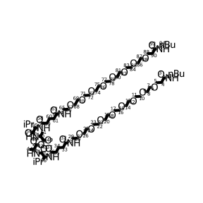 CCCCNC(=O)CCOCCOCCOCCOCCOCCOCCOCCOCCNC(=O)CCCC(=O)NC(C(=O)NC(C)C(=O)OC(=O)C(C)NC(=O)C(NC(=O)CCCC(=O)NCCOCCOCCOCCOCCOCCOCCOCCOCCC(=O)NCCCC)C(C)C)C(C)C